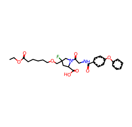 CCOC(=O)CCCCCOCC1(F)CC(C(=O)O)N(C(=O)CNC(=O)c2ccc(Oc3ccccc3)cc2)C1